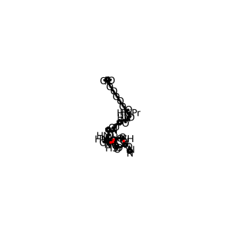 CC(C)[C@H](NC(=O)CCOCCOCCOCCOCCOCCN1C(=O)C=CC1=O)C(=O)N[C@@H](C)C(=O)Nc1ccc(COC(=O)N(C)Cc2ccccc2C(=O)Nc2nc3c(ncn3[C@@H]3O[C@@H]4CO[P@@](=O)(S)O[C@H]5C[C@H](Oc6ccncn6)CC5CO[P@@](=O)(S)O[C@@H]3[C@@H]4O)c(=O)[nH]2)cc1